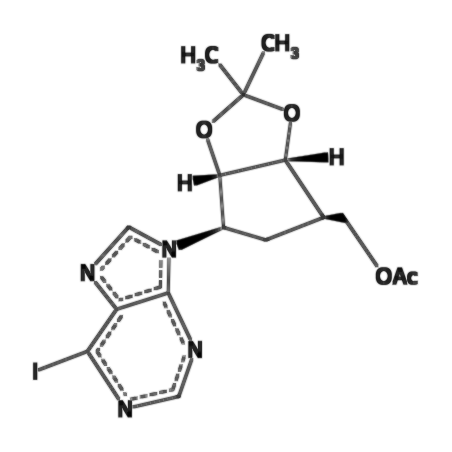 CC(=O)OC[C@H]1C[C@@H](n2cnc3c(I)ncnc32)[C@@H]2OC(C)(C)O[C@H]12